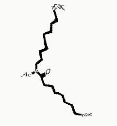 CCCCCCCCCCCCCCCCCCN(C(C)=O)C(=O)CCCCCCCCCCCCCCCCC